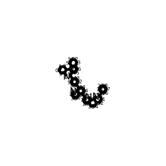 C1=CCC2C(=C1)N=C(c1ccc(-c3ccc(-c4ccc5c(n4)C4N=C(c6ccccc6)C=CC4C=C5)c4cccnc34)cc1)c1ccc3c(c12)C=CCC3